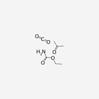 CC(C)=O.CCOC(N)=O.O=C=O